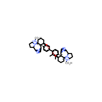 Cc1c(-c2ccc([C@]34C(=C=O)CCC[C@@]3(NC(=O)O)N3CCCC3c3ncc4[nH]3)cc2)ccc([C@]23C(=C=O)CCC[C@@]2(NC(=O)O)N2CCCC2c2ncc3[nH]2)c1C